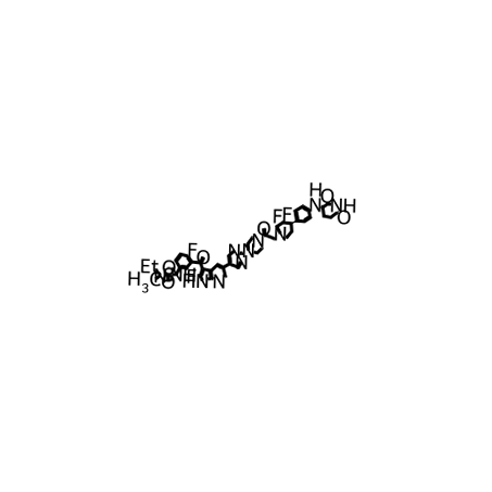 CCN(C)S(=O)(=O)Nc1ccc(F)c(C(=O)c2c[nH]c3ncc(-c4cnc(N5CCN(C(=O)CN6CC[C@H](c7ccc(NC8CCC(=O)NC8=O)cc7)C(F)(F)C6)CC5)nc4)cc23)c1F